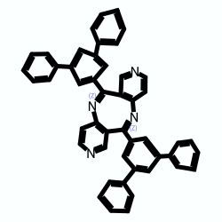 c1ccc(-c2cc(/C3=N/c4ccncc4/C(c4cc(-c5ccccc5)cc(-c5ccccc5)c4)=N\c4ccncc43)cc(-c3ccccc3)c2)cc1